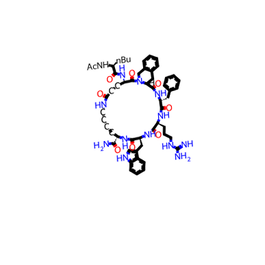 CCCC[C@H](NC(C)=O)C(=O)N[C@H]1CCC(=O)NCCCC[C@@H](C(N)=O)NC(=O)[C@H](Cc2c[nH]c3ccccc23)NC(=O)[C@H](CCCNC(=N)N)NC(=O)[C@@H](Cc2ccccc2)NC(=O)[C@@H]2Cc3ccccc3CN2C1=O